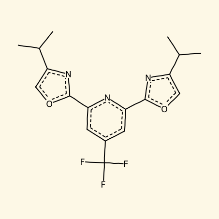 CC(C)c1coc(-c2cc(C(F)(F)F)cc(-c3nc(C(C)C)co3)n2)n1